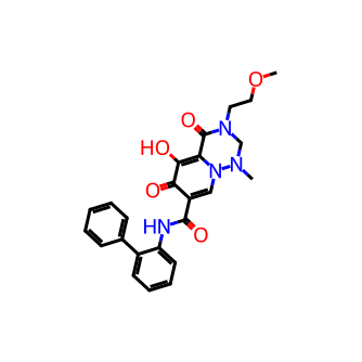 COCCN1CN(C)n2cc(C(=O)Nc3ccccc3-c3ccccc3)c(=O)c(O)c2C1=O